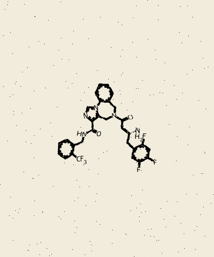 N[C@@H](CC(=O)N1Cc2ccccc2-n2cnc(C(=O)NCc3ccccc3C(F)(F)F)c2C1)Cc1cc(F)c(F)cc1F